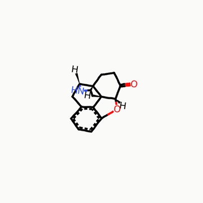 O=C1CC[C@H]2[C@H]3Cc4cccc5c4[C@@]2(CCN3)[C@H]1O5